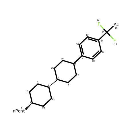 CCCCC[C@H]1CC[C@H](C2CCC(c3ccc(C(F)(F)C(C)=O)cc3)CC2)CC1